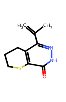 C=C(C)c1n[nH]c(=O)c2c1CCCS2